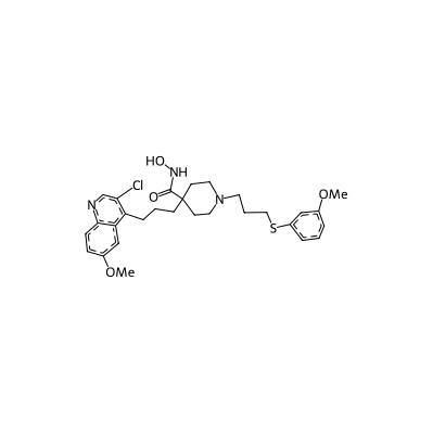 COc1cccc(SCCCN2CCC(CCCc3c(Cl)cnc4ccc(OC)cc34)(C(=O)NO)CC2)c1